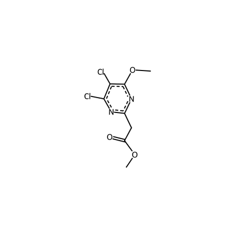 COC(=O)Cc1nc(Cl)c(Cl)c(OC)n1